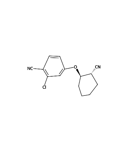 N#Cc1ccc(O[C@@H]2CCCC[C@H]2C#N)cc1Cl